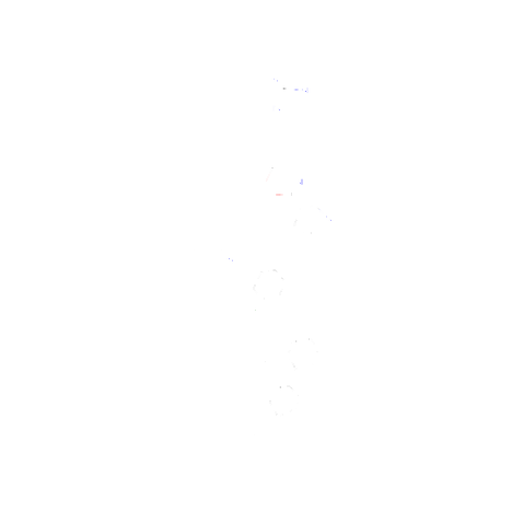 Cc1c(COc2cc(OCc3cncc(C(=O)N[C@@H](CCCNC(=N)N)C(=O)O)c3)c(CN3CC[C@H](O)C3)cc2Cl)cccc1-c1ccc2c(c1)OCCO2